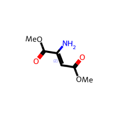 COC(=O)/C=C(\N)C(=O)OC